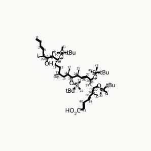 C=CC=C[C@H](C)[C@H](O)[C@@H](C)[C@H](CC[C@H](C)C[C@@H](C)[C@@H](O[Si](C)(C)C(C)(C)C)[C@@H](C)C=C[C@H](C[C@H](O[Si](C)(C)C(C)(C)C)[C@@H](C)C=CC=CC(=O)O)O[Si](C)(C)C(C)(C)C)O[Si](C)(C)C(C)(C)C